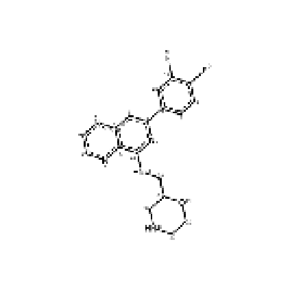 Fc1ccc(-c2cc3nccnc3c(NC[C@@H]3CNCCO3)n2)cc1F